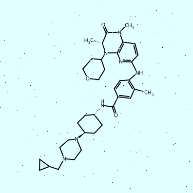 Cc1cc(C(=O)N[C@H]2CC[C@H](N3CCN(CC4CC4)CC3)CC2)ccc1Nc1ccc2c(n1)N(C1CCOCC1)[C@H](C)C(=O)N2C